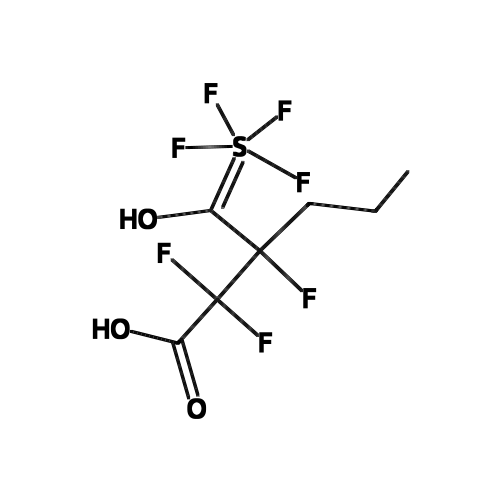 CCCC(F)(C(O)=S(F)(F)(F)F)C(F)(F)C(=O)O